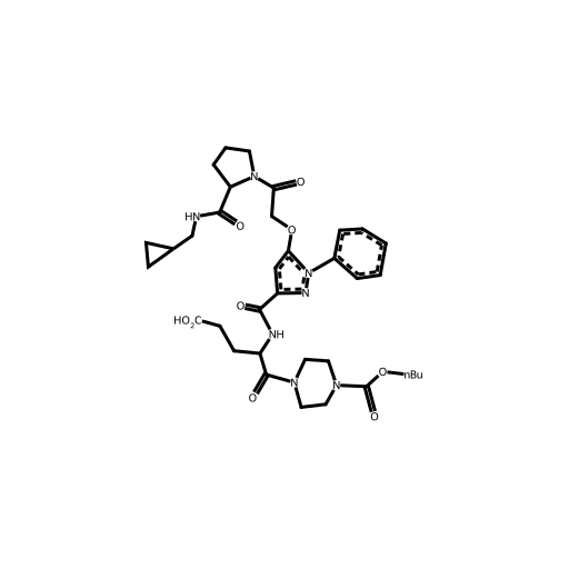 CCCCOC(=O)N1CCN(C(=O)C(CCC(=O)O)NC(=O)c2cc(OCC(=O)N3CCCC3C(=O)NCC3CC3)n(-c3ccccc3)n2)CC1